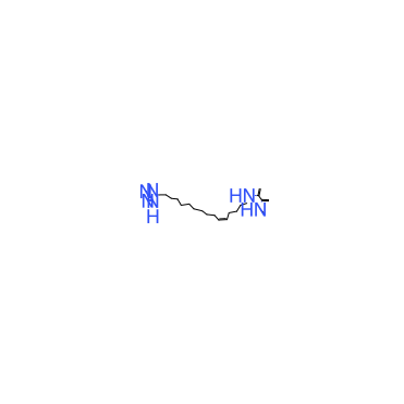 C=C(NC)C(=C)NCCCC/C=C\CCCCCCCCCc1nnn[nH]1